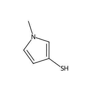 Cn1ccc(S)c1